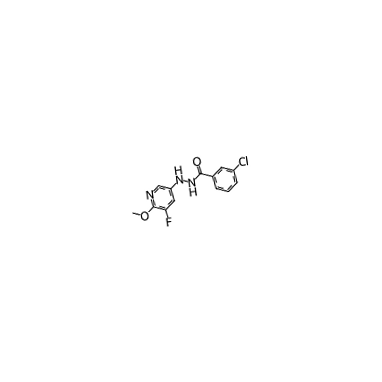 COc1ncc(NNC(=O)c2cccc(Cl)c2)cc1F